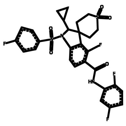 O=C(Nc1cc(F)ccc1F)c1ccc2c(c1F)C1(CCS(=O)(=O)CC1)C(C1CC1)N2S(=O)(=O)c1ccc(F)cc1